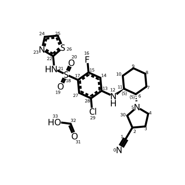 N#CC1CCN([C@H]2CCCC[C@@H]2Nc2cc(F)c(S(=O)(=O)Nc3nccs3)cc2Cl)C1.O=CO